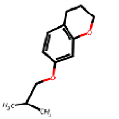 CC(C)COc1ccc2c(c1)OCCC2